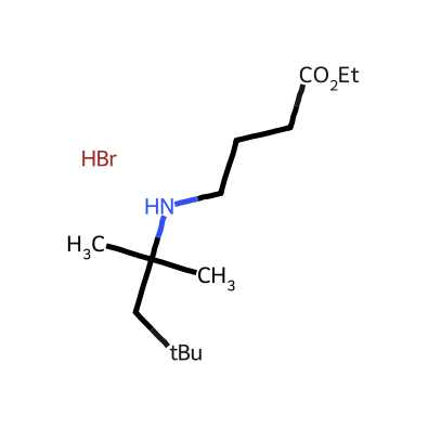 Br.CCOC(=O)CCCNC(C)(C)CC(C)(C)C